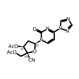 CC(=O)OC[C@@]1(C#N)O[C@H](n2ccc(-n3cncn3)nc2=O)C[C@@H]1OC(C)=O